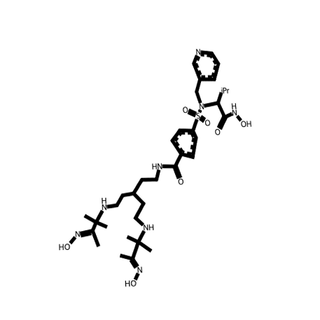 CC(=NO)C(C)(C)NCCC(CCNC(=O)c1ccc(S(=O)(=O)N(Cc2cccnc2)C(C(=O)NO)C(C)C)cc1)CCNC(C)(C)C(C)=NO